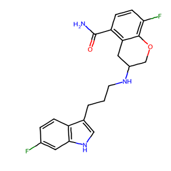 NC(=O)c1ccc(F)c2c1CC(NCCCc1c[nH]c3cc(F)ccc13)CO2